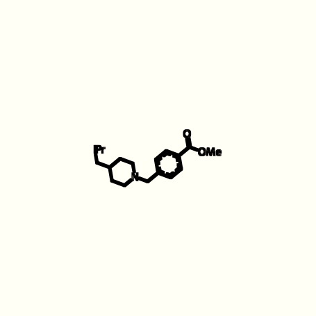 COC(=O)c1ccc(CN2CCC(CC(C)C)CC2)cc1